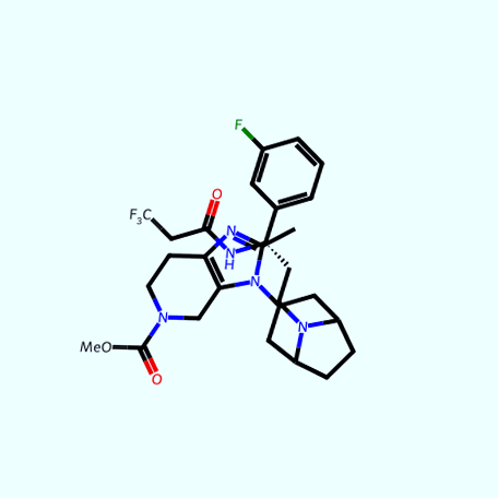 COC(=O)N1CCc2nc(C)n(C3CC4CCC(C3)N4CC[C@H](NC(=O)CC(F)(F)F)c3cccc(F)c3)c2C1